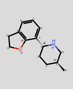 C[C@H]1CC[C@H](c2cccc3c2OCC3)NC1